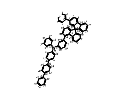 C/C=C\C(=C/C)c1ccc2c(c1)C1(c3ccccc3-2)c2ccccc2-c2c(-c3cccc(N(c4ccccc4)c4ccc(-c5ccc(-c6ccccc6)cc5)cc4)c3)cccc21